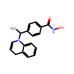 CC(c1ccc(C(=O)NO)cc1)N1C=CCc2ccccc21